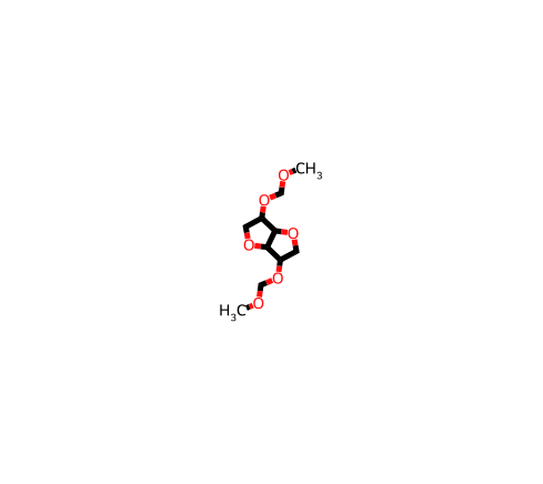 COCOC1COC2C(OCOC)COC12